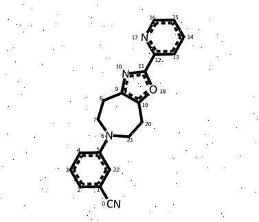 N#Cc1cccc(N2CCc3nc(-c4ccccn4)oc3CC2)c1